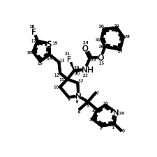 Cc1ccc(C(C)(C)N2CCC(CCc3ccc(F)s3)([C@@H](F)NC(=O)Oc3ccccc3)C2)cn1